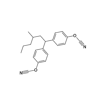 CCCC(C)CC(c1ccc(OC#N)cc1)c1ccc(OC#N)cc1